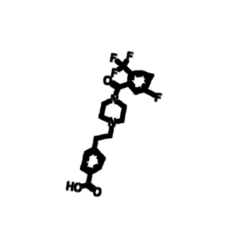 O=C(O)c1ccc(CCN2CCN(C(=O)c3cc(F)ccc3C(F)(F)F)CC2)cc1